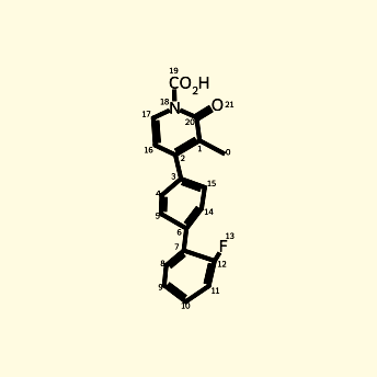 Cc1c(-c2ccc(-c3ccccc3F)cc2)ccn(C(=O)O)c1=O